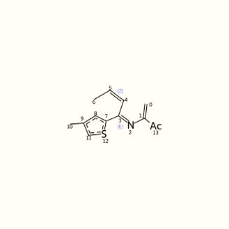 C=C(/N=C(\C=C/C)c1cc(C)cs1)C(C)=O